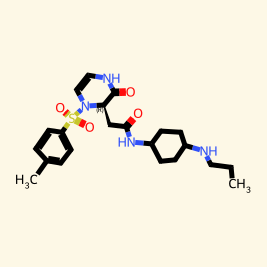 CCCNC1CCC(NC(=O)C[C@@H]2C(=O)NC=CN2S(=O)(=O)c2ccc(C)cc2)CC1